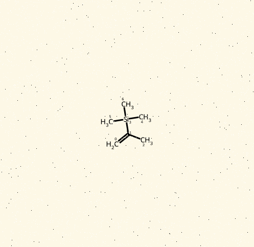 C=C(C)[Si](C)(C)C